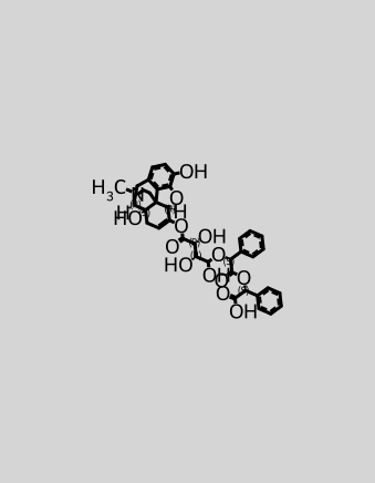 CN1CCC23c4c5ccc(O)c4O[C@H]2C(OC(=O)[C@H](O)[C@@H](O)C(O)O[C@H](C(=O)O[C@H](C(=O)O)c2ccccc2)c2ccccc2)=CC[C@@]3(O)[C@H]1C5